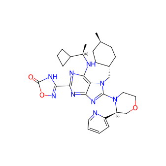 C[C@@H](Nc1nc(-c2noc(=O)[nH]2)nc2nc(N3CCOC[C@H]3c3ccccn3)n(C[C@H]3CC[C@H](C)CC3)c12)C1CCC1